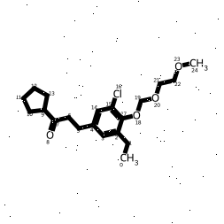 CCc1cc(CCC(=O)C2CCCC2)cc(Cl)c1OCOCCOC